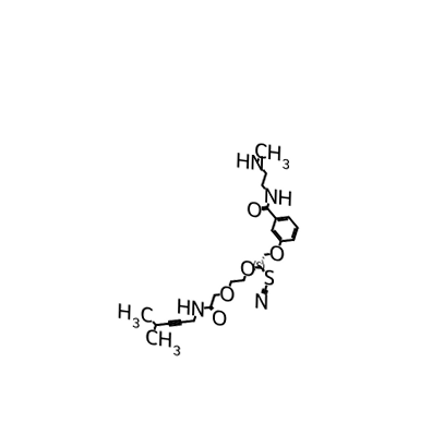 CNCCNC(=O)c1cccc(OC[C@@H](OCCOCC(=O)NCC#CC(C)C)SC#N)c1